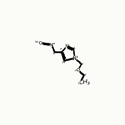 CCOCn1cnc(CN=O)c1